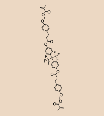 C=C(C)C(=O)OCOc1ccc(CCC(=O)Oc2ccc(C(c3ccc(OC(=O)CCc4ccc(OCOC(=O)C(=C)C)cc4)cc3)(C(F)(F)F)C(F)(F)F)cc2)cc1